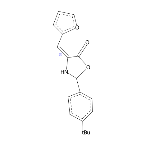 CC(C)(C)c1ccc(C2N/C(=C/c3ccco3)C(=O)O2)cc1